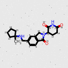 CC1(NCc2ccc3c(c2)CN(C2CCC(=O)NC2=O)C3=O)CCCC1